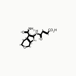 NC(=O)c1c(NC(=O)/C=C/C(=O)O)sc2c1CCOC2